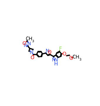 COCCOc1cc2[nH]nc(-c3cc(-c4ccc(C(=O)N5CC(c6noc(C)n6)C5)cc4)no3)c2cc1F